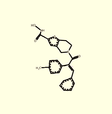 Cc1ccc(/C(=C\c2ccccc2)C(=O)N2CCc3sc(C(=O)NO)cc3C2)cc1